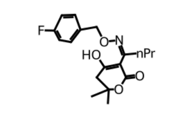 CCCC(=NOCc1ccc(F)cc1)C1=C(O)CC(C)(C)OC1=O